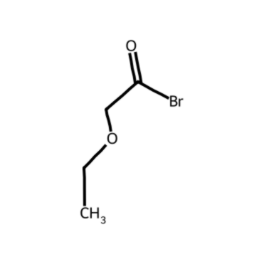 CCOCC(=O)Br